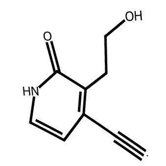 [C]#Cc1cc[nH]c(=O)c1CCO